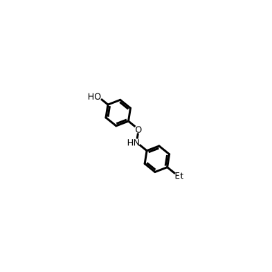 CCc1ccc(NOc2ccc(O)cc2)cc1